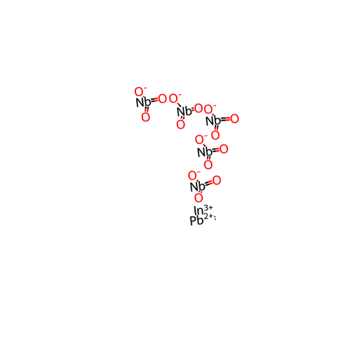 [In+3].[O]=[Nb](=[O])[O-].[O]=[Nb](=[O])[O-].[O]=[Nb](=[O])[O-].[O]=[Nb](=[O])[O-].[O]=[Nb](=[O])[O-].[Pb+2]